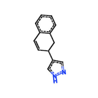 C1=CC(c2cn[nH]c2)Cc2ccccc21